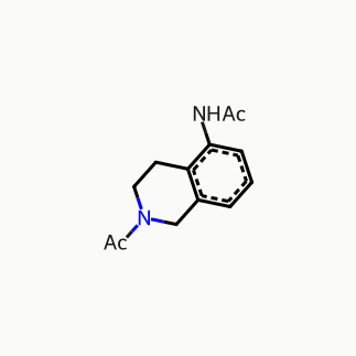 CC(=O)Nc1cccc2c1CCN(C(C)=O)C2